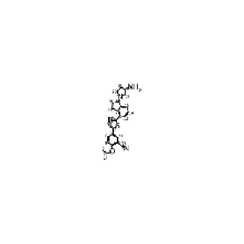 CC(C)Oc1ccc(-c2nnc(-c3cccc4c3CCC4N3CC[C@H](N)C3)s2)cc1C#N